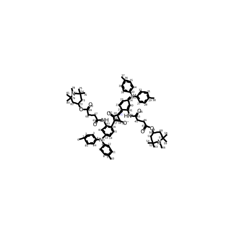 Cc1ccc(N(c2ccc(C)cc2)c2ccc(C3=C([O-])/C(=C4/C=CC(=[N+](c5ccc(C)cc5)c5ccc(C)cc5)C=C4NC(=O)CCC(=O)OC4CC(C)(C)N(C)C(C)(C)C4)C3=O)c(NC(=O)CCC(=O)OC3CC(C)(C)N(C)C(C)(C)C3)c2)cc1